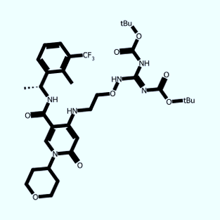 Cc1c([C@@H](C)NC(=O)c2cn(C3CCOCC3)c(=O)cc2NCCONC(=NC(=O)OC(C)(C)C)NC(=O)OC(C)(C)C)cccc1C(F)(F)F